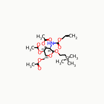 C=CCOC(=O)N[C@H]1[C@H](OCC[Si](C)(C)C)O[C@H](COC(C)=O)[C@@H](OC(C)=O)[C@@H]1OC(C)=O